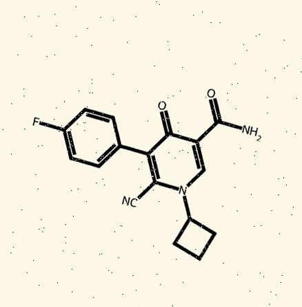 N#Cc1c(-c2ccc(F)cc2)c(=O)c(C(N)=O)cn1C1CCC1